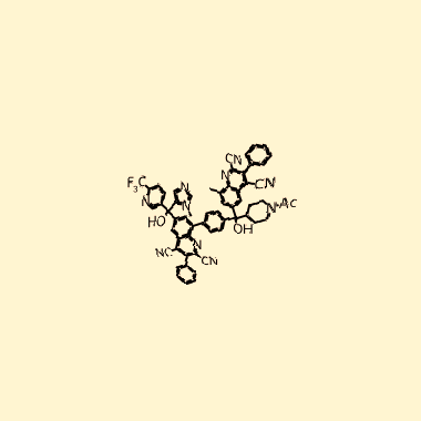 CC(=O)N1CCC(C(O)(c2ccc(-c3cc(C(O)(c4ccc(C(F)(F)F)nc4)c4cncn4C)cc4c(C#N)c(-c5ccccc5)c(C#N)nc34)cc2)c2cc(C)c3nc(C#N)c(-c4ccccc4)c(C#N)c3c2)CC1